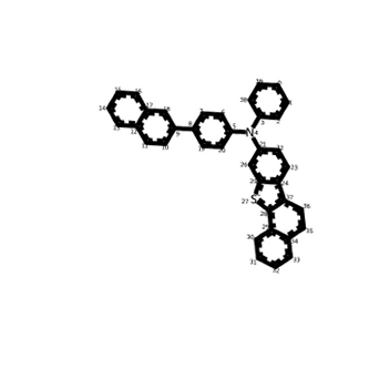 c1ccc(N(c2ccc(-c3ccc4ccccc4c3)cc2)c2ccc3c(c2)sc2c4ccccc4ccc32)cc1